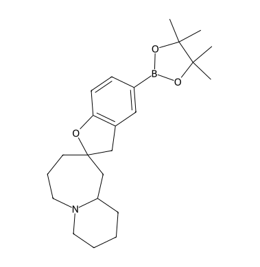 CC1(C)OB(c2ccc3c(c2)CC2(CCCN4CCCCC4C2)O3)OC1(C)C